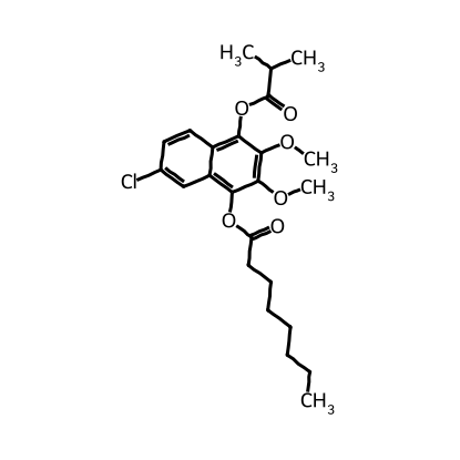 CCCCCCCC(=O)Oc1c(OC)c(OC)c(OC(=O)C(C)C)c2ccc(Cl)cc12